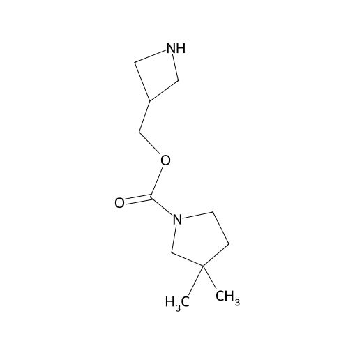 CC1(C)CCN(C(=O)OCC2CNC2)C1